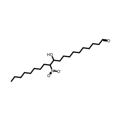 CCCCCCCCC(C(O)CCCCCCCCCC=O)[N+](=O)[O-]